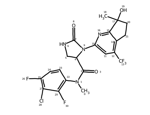 CN(C(=O)C1CNC(=O)N1c1cc(C(F)(F)F)c2c(n1)C(C)(O)CC2)c1ccc(F)c(Cl)c1F